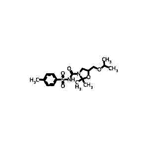 Cc1ccc(S(=O)(=O)NC(=O)N2CC(COC(C)C)OC2(C)C)cc1